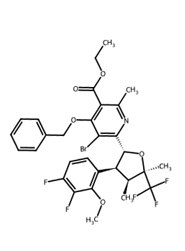 CCOC(=O)c1c(C)nc([C@@H]2O[C@@](C)(C(F)(F)F)[C@@H](C)[C@H]2c2ccc(F)c(F)c2OC)c(Br)c1OCc1ccccc1